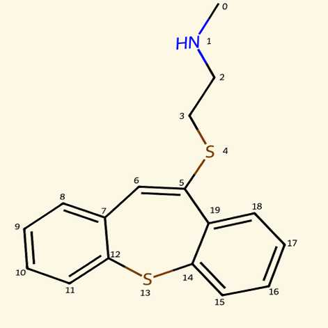 CNCCSC1=Cc2ccccc2Sc2ccccc21